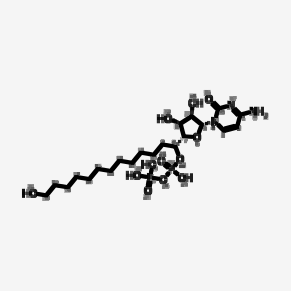 Nc1ccn([C@@H]2O[C@H](C(CCCCCCCCCCCCO)OP(=O)(O)OP(=O)(O)O)[C@@H](O)[C@H]2O)c(=O)n1